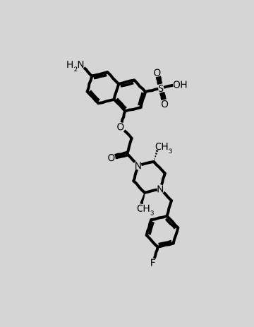 C[C@@H]1CN(Cc2ccc(F)cc2)[C@@H](C)CN1C(=O)COc1cc(S(=O)(=O)O)cc2cc(N)ccc12